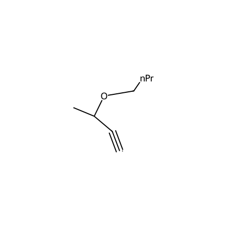 [C]#CC(C)OCCCC